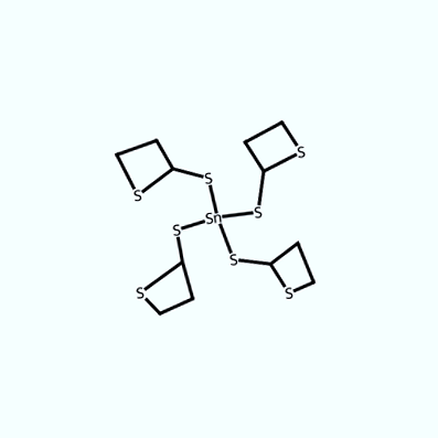 C1CC([S][Sn]([S]C2CCS2)([S]C2CCS2)[S]C2CCS2)S1